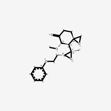 CO[C@@H]1C(=O)CC[C@]2(CO2)[C@H]1[C@@]1(C)O[C@@H]1CCOc1ccccc1